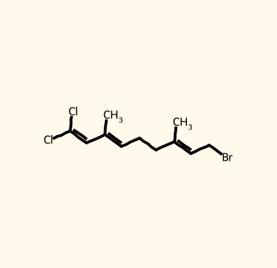 C/C(C=C(Cl)Cl)=C\CC/C(C)=C/CBr